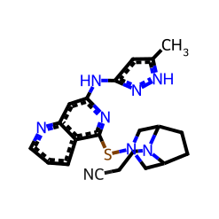 Cc1cc(Nc2cc3ncccc3c(SN3CC4CCC(C3)N4CCC#N)n2)n[nH]1